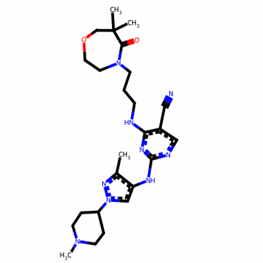 Cc1nn(C2CCN(C)CC2)cc1Nc1ncc(C#N)c(NCCCN2CCOCC(C)(C)C2=O)n1